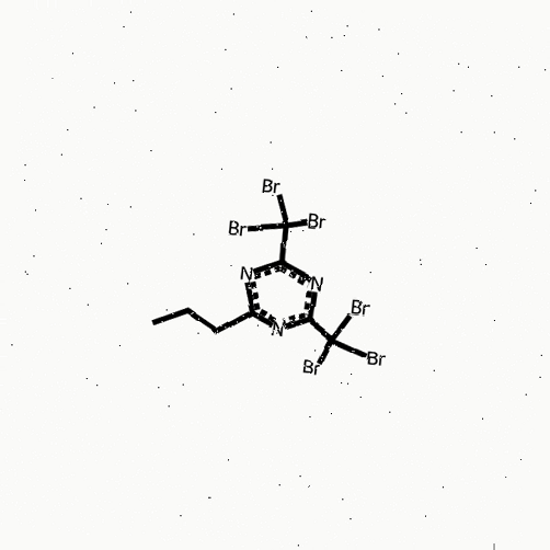 CCCc1nc(C(Br)(Br)Br)nc(C(Br)(Br)Br)n1